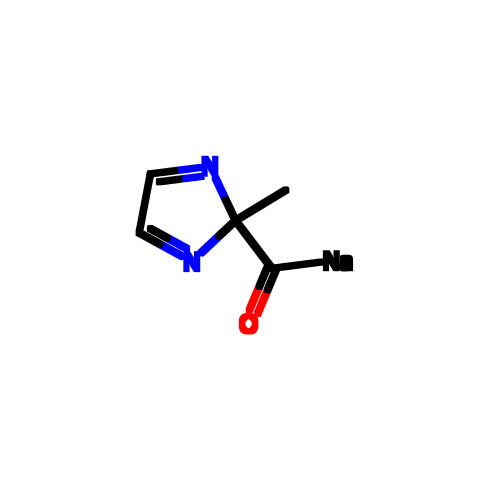 CC1([C](=O)[Na])N=CC=N1